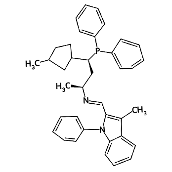 Cc1c(/C=N/[C@@H](C)C[C@@H](C2CCC(C)C2)P(c2ccccc2)c2ccccc2)n(-c2ccccc2)c2ccccc12